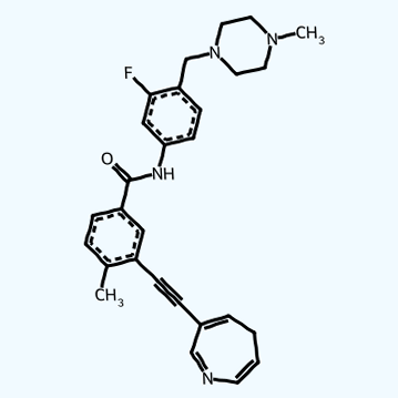 Cc1ccc(C(=O)Nc2ccc(CN3CCN(C)CC3)c(F)c2)cc1C#CC1=CCC=CN=C1